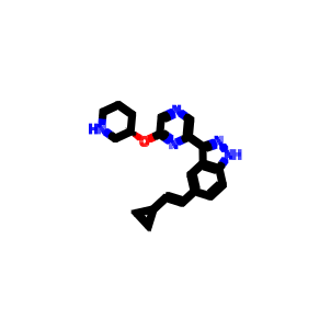 C(=CC1CC1)c1ccc2[nH]nc(-c3cncc(O[C@@H]4CCCNC4)n3)c2c1